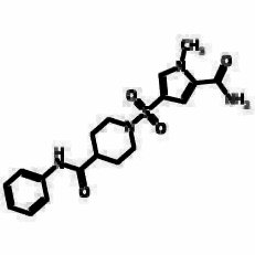 Cn1cc(S(=O)(=O)N2CCC(C(=O)Nc3ccccc3)CC2)cc1C(N)=O